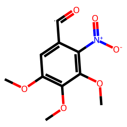 COc1cc([C]=O)c([N+](=O)[O-])c(OC)c1OC